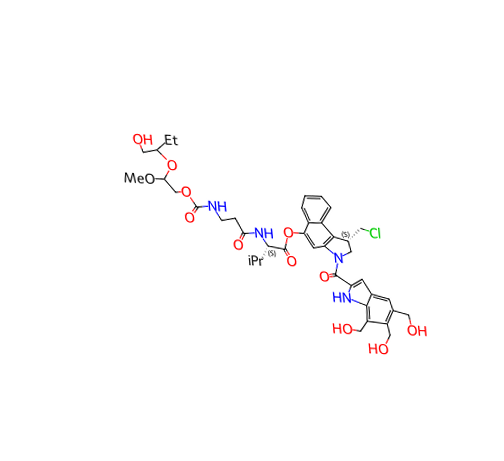 CCC(CO)OC(COC(=O)NCCC(=O)N[C@H](C(=O)Oc1cc2c(c3ccccc13)[C@H](CCl)CN2C(=O)c1cc2cc(CO)c(CO)c(CO)c2[nH]1)C(C)C)OC